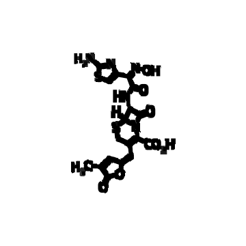 CC1=C/C(=C\C2=C(C(=O)O)N3C(=O)[C@@H](NC(=O)/C(=N\O)c4csc(N)n4)[C@H]3SC2)OC1=O